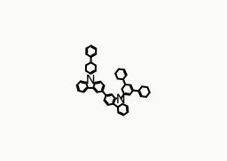 C1=CC2c3ccc(-c4ccc5c(c4)c4ccccc4n5C4=CCC(c5ccccc5)CC4)cc3N(C3=CC(C4=CCCCC4)=CC(C4C=CCCC4)C3)C2C=C1